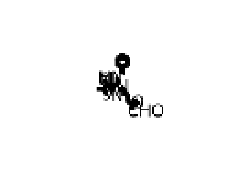 Cc1sc2nc(CCC(=O)C=O)nc(NCc3ccccc3)c2c1Cl